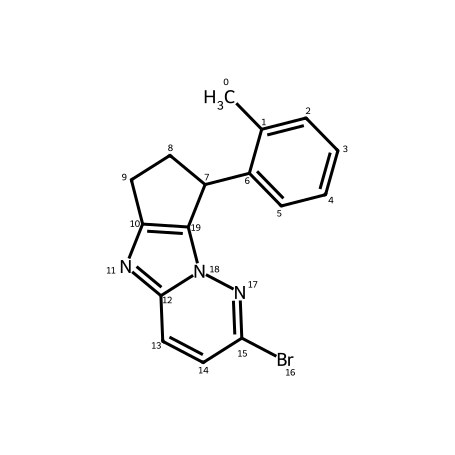 Cc1ccccc1C1CCc2nc3ccc(Br)nn3c21